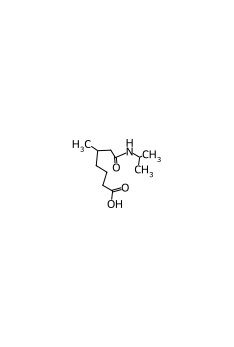 CC(CCCC(=O)O)CC(=O)NC(C)C